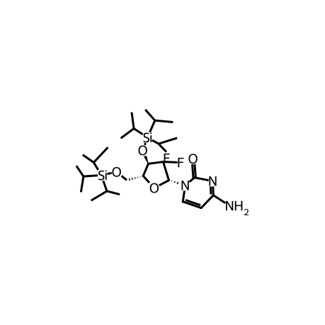 CC(C)[Si](OC[C@H]1O[C@@H](n2ccc(N)nc2=O)C(F)(F)[C@@H]1O[Si](C(C)C)(C(C)C)C(C)C)(C(C)C)C(C)C